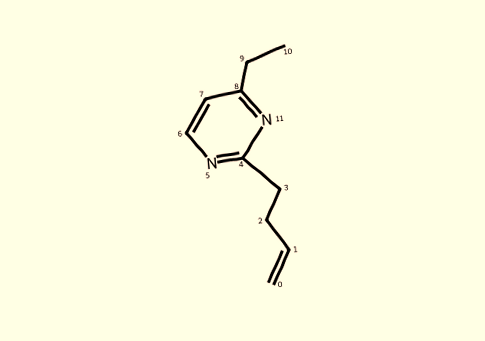 C=CCCc1nccc(CC)n1